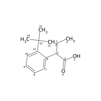 CCC(C(=O)O)c1ccccc1C(C)(C)C